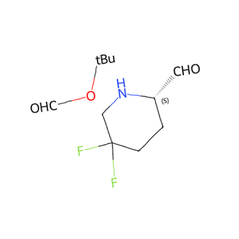 CC(C)(C)OC=O.O=C[C@@H]1CCC(F)(F)CN1